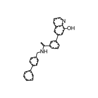 C=C(NCc1ccc(-c2ccccc2)cc1)c1cccc(-c2cc(O)c3ncccc3c2)c1